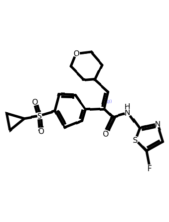 O=C(Nc1ncc(F)s1)/C(=C/C1CCOCC1)c1ccc(S(=O)(=O)C2CC2)cc1